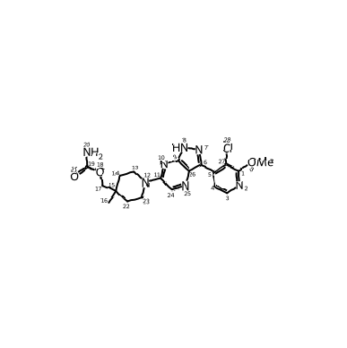 COc1nccc(-c2n[nH]c3nc(N4CCC(C)(COC(N)=O)CC4)cnc23)c1Cl